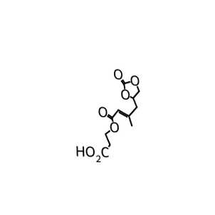 CC(=CC(=O)OCCC(=O)O)CC1COC(=O)O1